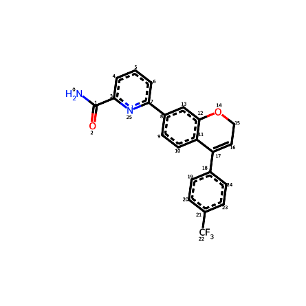 NC(=O)c1cccc(-c2ccc3c(c2)OCC=C3c2ccc(C(F)(F)F)cc2)n1